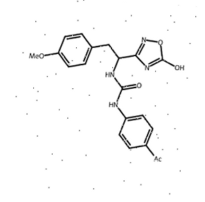 COc1ccc(CC(NC(=O)Nc2ccc(C(C)=O)cc2)c2noc(O)n2)cc1